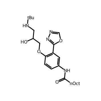 CCCCCCCCC(=O)Nc1ccc(OCC(O)CNC(C)(C)C)c(-c2nnco2)c1